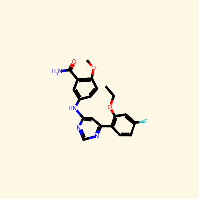 CCOc1cc(F)ccc1-c1cc(Nc2ccc(OC)c(C(N)=O)c2)ncn1